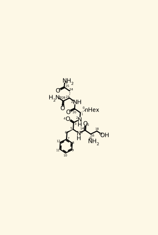 CCCCCC[C@H](NC(=O)[C@H](Cc1ccccc1)NC(=O)[C@@H](N)CO)C(=O)N[C@@H](CC(N)=O)C(N)=O